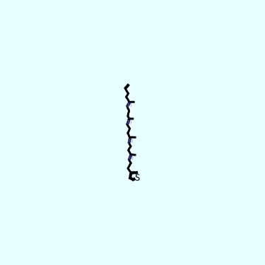 C=CCC/C(C)=C/CC/C(C)=C/CC/C(C)=C/CC/C(C)=C/CCc1ccsc1